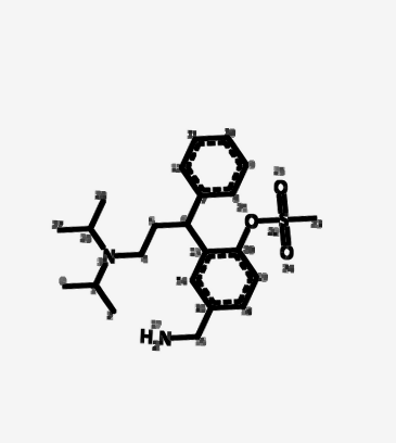 CC(C)N(CCC(c1ccccc1)c1cc(CN)ccc1OS(C)(=O)=O)C(C)C